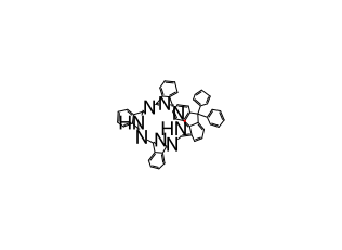 c1ccc(C(c2ccccc2)(c2ccccc2)c2cccc3c4nc5nc(nc6[nH]c(nc7nc(nc([nH]4)c23)-c2ccccc2-7)c2ccccc62)-c2ccccc2-5)cc1